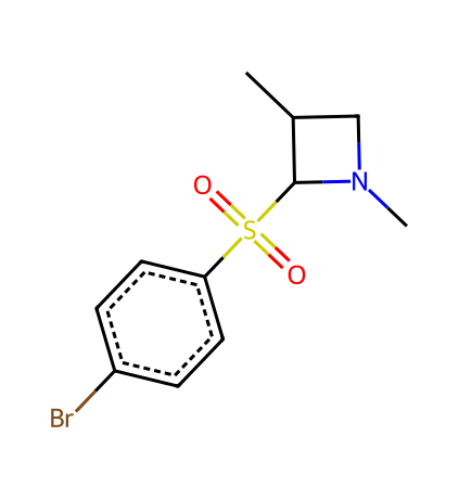 CC1CN(C)C1S(=O)(=O)c1ccc(Br)cc1